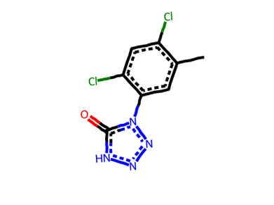 Cc1cc(-n2nn[nH]c2=O)c(Cl)cc1Cl